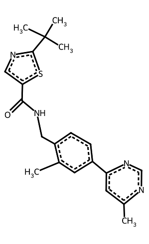 Cc1cc(-c2ccc(CNC(=O)c3cnc(C(C)(C)C)s3)c(C)c2)ncn1